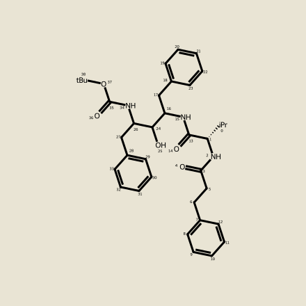 CC(C)[C@H](NC(=O)CCc1ccccc1)C(=O)NC(Cc1ccccc1)C(O)C(Cc1ccccc1)NC(=O)OC(C)(C)C